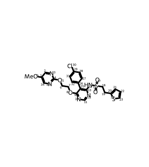 COc1cnc(OCCOc2ncnc(NS(=O)(=O)CCc3cccs3)c2-c2ccc(Cl)cc2)nc1